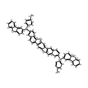 CC(C)c1ccc(N(c2ccc3cc4c(cc3c2)oc2cc3c(cc24)oc2c4ccc(N(c5ccc(C(C)C)cc5)c5ccc6oc7ccccc7c6c5)cc4ccc32)c2ccc3oc4ccccc4c3c2)cc1